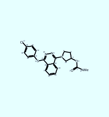 CNC(=O)OC1CCN(c2nnc(Sc3ccc(Cl)cc3)c3ccccc23)C1